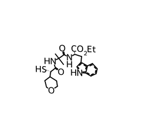 CCOC(=O)[C@H](Cc1c[nH]c2ccccc12)NC(=O)C(C)(C)NC(=O)[C@@H](S)C1CCOCC1